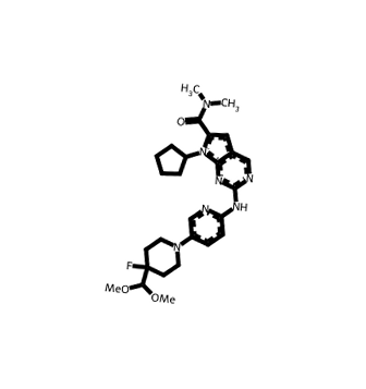 COC(OC)C1(F)CCN(c2ccc(Nc3ncc4cc(C(=O)N(C)C)n(C5CCCC5)c4n3)nc2)CC1